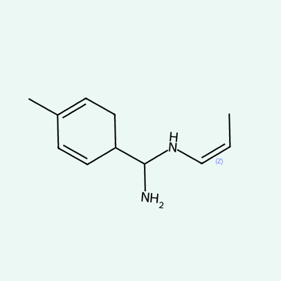 C/C=C\NC(N)C1C=CC(C)=CC1